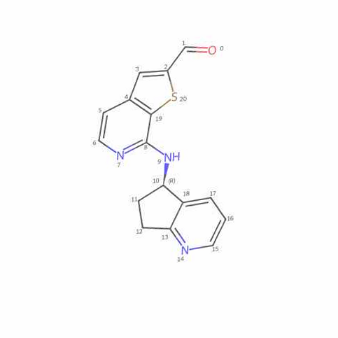 O=Cc1cc2ccnc(N[C@@H]3CCc4ncccc43)c2s1